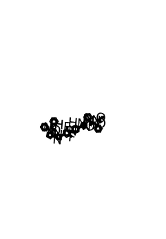 COC(=O)N[C@@H](C(=O)N1CCCC[C@H]1c1ncc(C2CCN(c3c(F)cc(-c4cnc([C@@H]5CCCN5C(=O)[C@@H](c5ccccc5)N5CCCCC5)[nH]4)cc3F)CC2)[nH]1)c1ccccc1